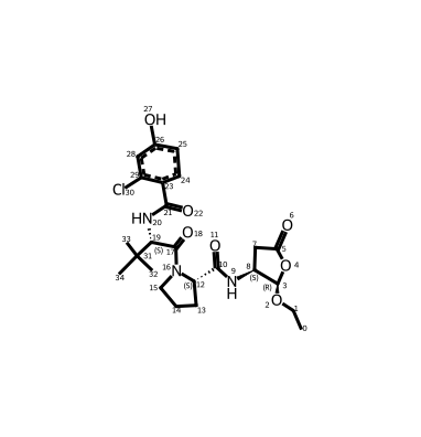 CCO[C@@H]1OC(=O)C[C@@H]1NC(=O)[C@@H]1CCCN1C(=O)[C@@H](NC(=O)c1ccc(O)cc1Cl)C(C)(C)C